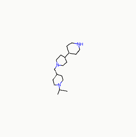 CC(C)N1CCC(CN2CCC(C3CCNCC3)CC2)CC1